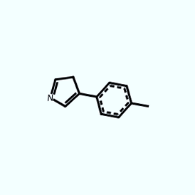 Cc1ccc(C2=CN=CC2)cc1